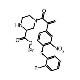 C=C(C(=O)N1CCNC(C(=O)OC(C)C)C1)c1ccc(Sc2ccccc2C(C)C)c([N+](=O)[O-])c1